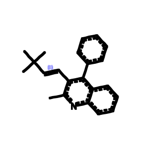 Cc1nc2ccccc2c(-c2ccccc2)c1/C=C/C(C)(C)C